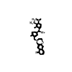 Cc1ccc(C(c2ccc(N(C)N)c(N)c2C)C(C)(C)C)cc1CN1CCOc2cc3cccc(F)c3cc2C1